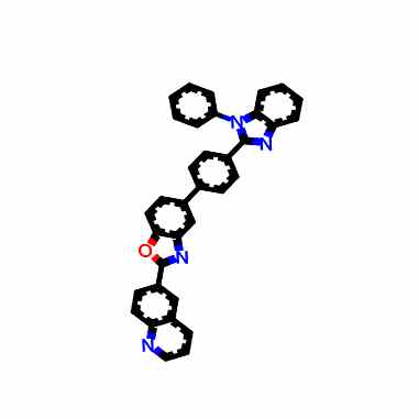 c1ccc(-n2c(-c3ccc(-c4ccc5oc(-c6ccc7ncccc7c6)nc5c4)cc3)nc3ccccc32)cc1